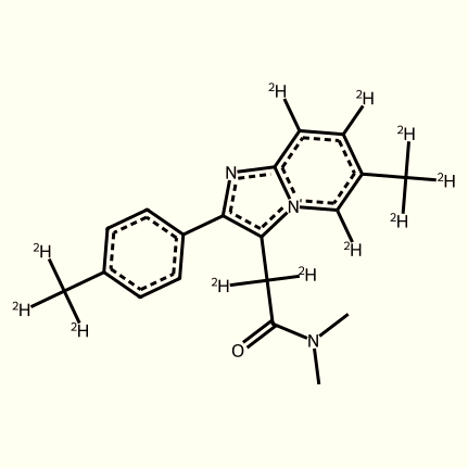 [2H]c1c(C([2H])([2H])[2H])c([2H])n2c(C([2H])([2H])C(=O)N(C)C)c(-c3ccc(C([2H])([2H])[2H])cc3)nc2c1[2H]